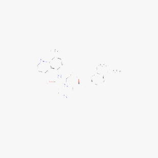 COc1ccc(CC(=O)C2CN3CC4C(=O)N(c5ccc(C#N)c6ncccc56)C(=O)[N+]24C3)cc1OC